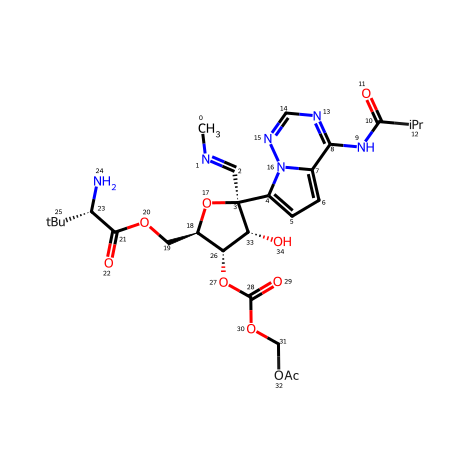 CN=C[C@@]1(c2ccc3c(NC(=O)C(C)C)ncnn23)O[C@H](COC(=O)[C@@H](N)C(C)(C)C)[C@@H](OC(=O)OCOC(C)=O)[C@H]1O